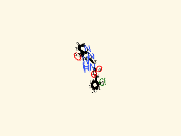 O=C(NCc1nc2ncccc2c(=O)[nH]1)OCc1ccccc1Cl